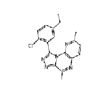 CCc1ccc(Cl)c(-c2nnc3c(C)nc4ccc(C)nc4n23)c1